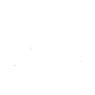 O=C(O)N1CCCc2ccc(C(F)(F)F)cc21